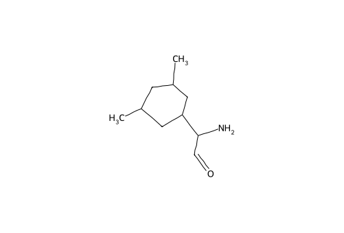 CC1CC(C)CC(C(N)C=O)C1